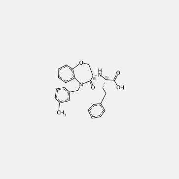 Cc1cccc(CN2C(=O)[C@@H](N[C@@H](CCc3ccccc3)C(=O)O)COc3ccccc32)c1